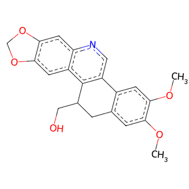 COc1cc2c(cc1OC)-c1cnc3cc4c(cc3c1C(CO)C2)OCO4